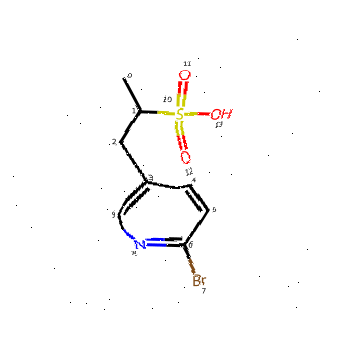 CC(Cc1ccc(Br)nc1)S(=O)(=O)O